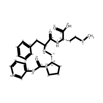 CSCC[C@H](NC(=O)C(Cc1ccccc1)OC[C@@H]1CCCN1C(=O)Oc1cccnc1)C(=O)O